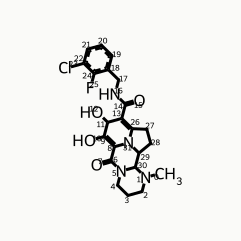 CN1CCCN2C(=O)C3=C(O)C(O)C(C(=O)NCc4cccc(Cl)c4F)=C4CCC(C12)N43